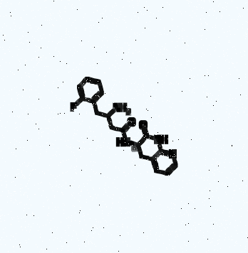 NC(CC(=O)N[C@@H]1Cc2cccnc2NC1=O)Cc1ccccc1F